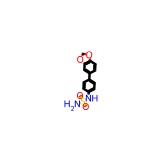 NS(=O)(=O)Nc1ccc(-c2ccc3c(c2)OCO3)cc1